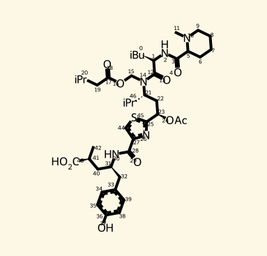 CC[C@H](C)C(NC(=O)C1CCCCN1C)C(=O)N(COC(=O)CC(C)C)[C@H](C[C@@H](OC(C)=O)c1nc(C(=O)N[C@@H](Cc2ccc(O)cc2)C[C@H](C)C(=O)O)cs1)C(C)C